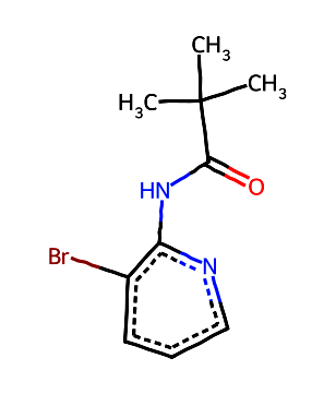 CC(C)(C)C(=O)Nc1ncccc1Br